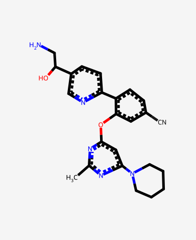 Cc1nc(Oc2cc(C#N)ccc2-c2ccc(C(O)CN)cn2)cc(N2CCCCC2)n1